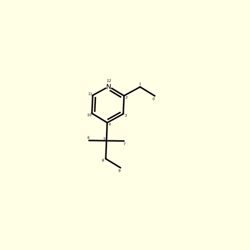 CCc1cc(C(C)(C)CC)ccn1